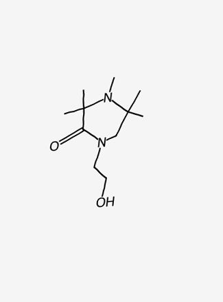 CN1C(C)(C)CN(CCO)C(=O)C1(C)C